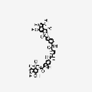 Cc1c[nH]c2c(O)cc3c(c12)[C@H](CCl)CN3C(=O)c1cc2cc(NC(=O)c3ccc(C(=O)Nc4ccc5[nH]c(C(=O)N6C[C@@H](CCl)c7c6cc(O)c6[nH]cc(C)c76)cc5c4)o3)ccc2[nH]1